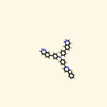 c1ccc2c(c1)sc1nc(-c3ccc(N(c4ccc(-c5ccc6ccnnc6c5)cc4)c4ccc(-c5ccc6ccnnc6c5)cc4)cc3)ccc12